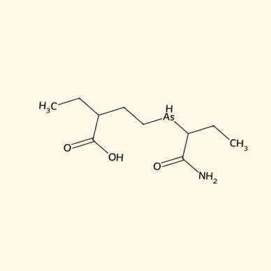 CCC(CC[AsH]C(CC)C(N)=O)C(=O)O